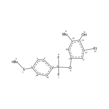 CCCCSc1ccc(C(F)(F)Oc2cc(CC)c(O)c(C(C)(C)C)c2)cc1